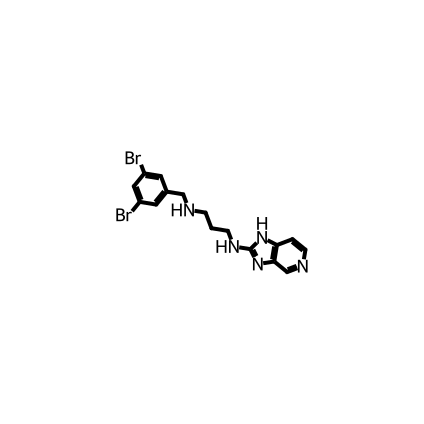 Brc1cc(Br)cc(CNCCCNc2nc3cnccc3[nH]2)c1